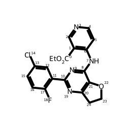 CCOC(=O)c1cnccc1Nc1nc(-c2cc(Cl)ccc2F)nc2c1OCC2